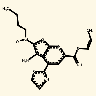 C/C=C\SC(=N)c1cc(-c2nccs2)c2c(N)c([S+]([O-])CCCC)sc2n1